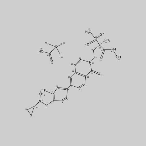 CN(Cc1ccc(-c2ccc3c(=O)n(CC[C@](C)(C(=O)NO)S(C)(=O)=O)cnc3c2)cc1F)C1CC1.O=C(O)C(F)(F)F